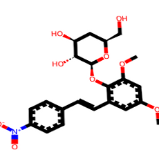 COc1cc(/C=C/c2ccc([N+](=O)[O-])cc2)c(O[C@@H]2O[C@H](CO)C[C@H](O)[C@H]2O)c(OC)c1